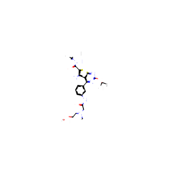 CCN(CCOC)CC(=O)Nc1cccc(-c2nc(OC(C)C)nc3sc(C(=O)NC(C)(C)C)c(N)c23)c1